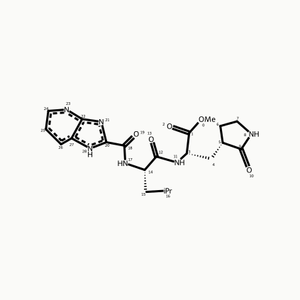 COC(=O)[C@H](C[C@@H]1CCNC1=O)NC(=O)[C@H](CC(C)C)NC(=O)c1nc2ncccc2[nH]1